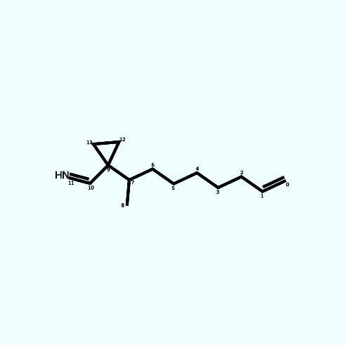 C=CCCCCCC(C)C1(C=N)CC1